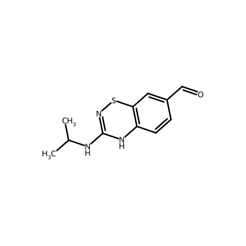 CC(C)NC1=NSc2cc(C=O)ccc2N1